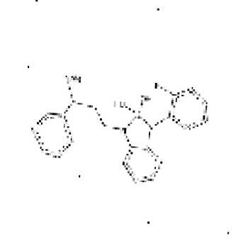 CNC(CCN1c2ccccc2N(c2ccccc2F)S1(O)O)c1ccccc1